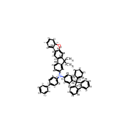 CC1(C)c2cc(N(c3ccc(-c4ccccc4)cc3)c3ccc(C4(c5ccccc5)c5ccccc5-c5ccccc54)cc3)ccc2-c2cc3c(cc21)oc1ccccc13